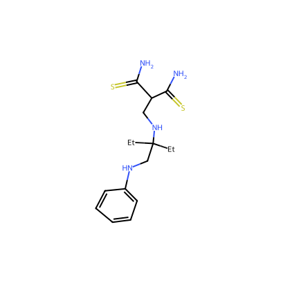 CCC(CC)(CNc1ccccc1)NCC(C(N)=S)C(N)=S